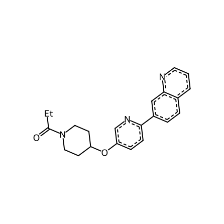 CCC(=O)N1CCC(Oc2ccc(-c3ccc4cccnc4c3)nc2)CC1